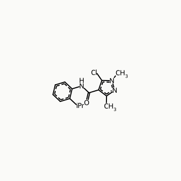 Cc1nn(C)c(Cl)c1C(=O)Nc1ccccc1C(C)C